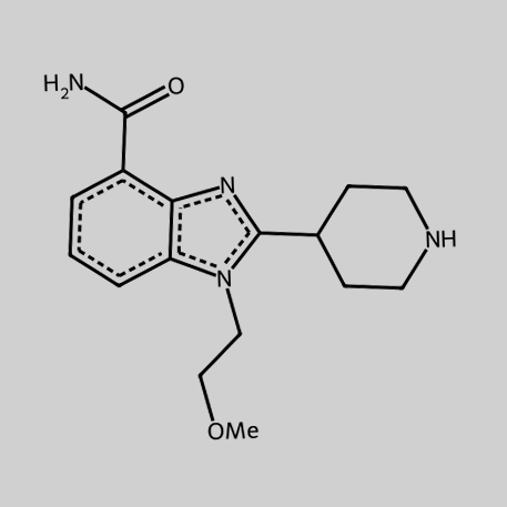 COCCn1c(C2CCNCC2)nc2c(C(N)=O)cccc21